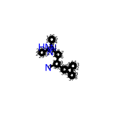 N#Cc1cc(-c2cccc(C3=NC(c4ccccc4)NC(c4ccccc4)=N3)c2)cc(-c2ccc3c4ccccc4c4ccccc4c3c2)c1